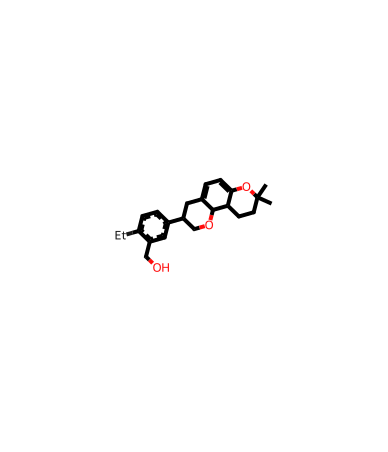 CCc1ccc(C2COC3C(=CC=C4OC(C)(C)CCC43)C2)cc1CO